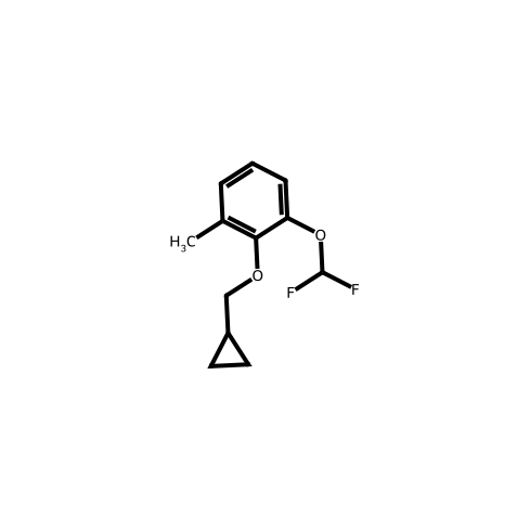 Cc1cccc(OC(F)F)c1OCC1CC1